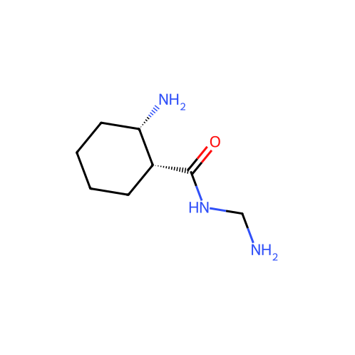 NCNC(=O)[C@@H]1CCCC[C@@H]1N